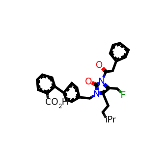 CC(C)CCc1c(CF)n(C(=O)Cc2ccccc2)c(=O)n1Cc1ccc(-c2ccccc2C(=O)O)cc1